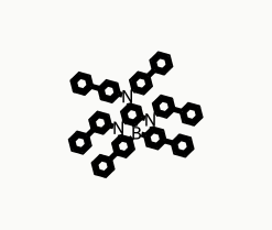 c1ccc(-c2ccc(N(c3ccc(-c4ccccc4)cc3)c3cc4c5c(c3)N(c3cccc(-c6ccccc6)c3)c3cc(-c6ccccc6)ccc3B5c3ccc(-c5ccccc5)cc3N4c3cccc(-c4ccccc4)c3)cc2)cc1